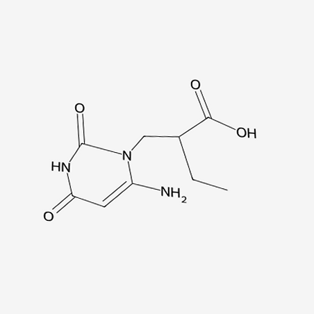 CCC(Cn1c(N)cc(=O)[nH]c1=O)C(=O)O